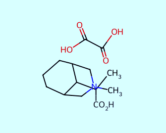 CC(C(=O)O)C1C2CCCC1CN(C)C2.O=C(O)C(=O)O